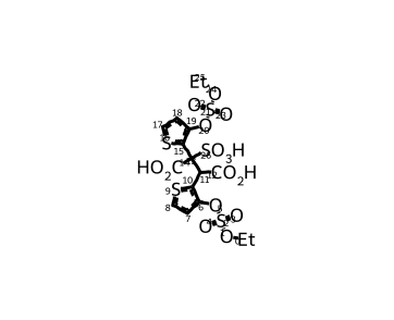 CCOS(=O)(=O)Oc1ccsc1C(C(=O)O)C(C(=O)O)(c1sccc1OS(=O)(=O)OCC)S(=O)(=O)O